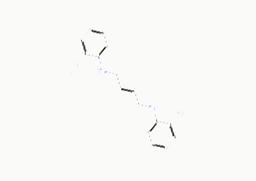 O=[N+]([O-])c1ccccc1NC/C=C/CNc1ccccc1[N+](=O)[O-]